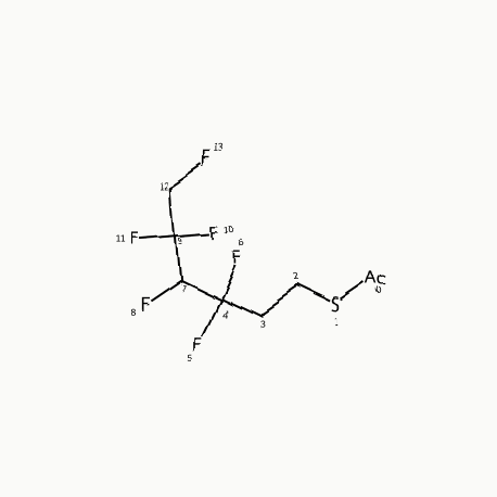 CC(=O)SCCC(F)(F)C(F)C(F)(F)CF